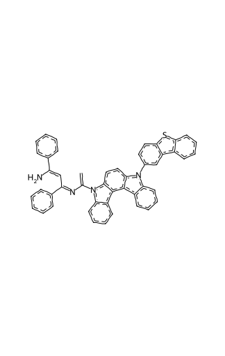 C=C(/N=C(\C=C(/N)c1ccccc1)c1ccccc1)n1c2ccccc2c2c3c4ccccc4n(-c4ccc5sc6ccccc6c5c4)c3ccc21